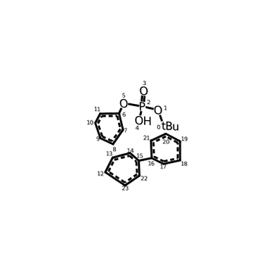 CC(C)(C)OP(=O)(O)Oc1ccccc1.c1ccc(-c2ccccc2)cc1